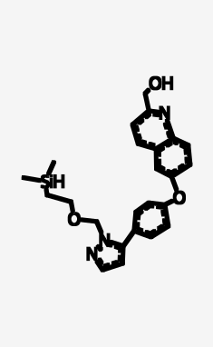 C[SiH](C)CCOCn1nccc1-c1ccc(Oc2ccc3nc(CO)ccc3c2)cc1